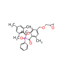 Cc1cc(C)c(C(=O)P(=O)(C(=O)c2c(C)cc(COCC3CO3)cc2C)c2ccccc2)c(C)c1